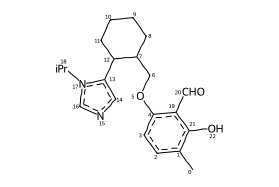 Cc1ccc(OCC2CCCCC2c2cncn2C(C)C)c(C=O)c1O